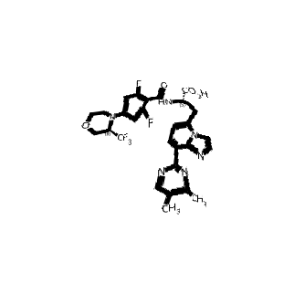 Cc1cnc(-c2ccc(C[C@H](NC(=O)c3c(F)cc(N4CCOC[C@@H]4C(F)(F)F)cc3F)C(=O)O)n3ccnc23)nc1C